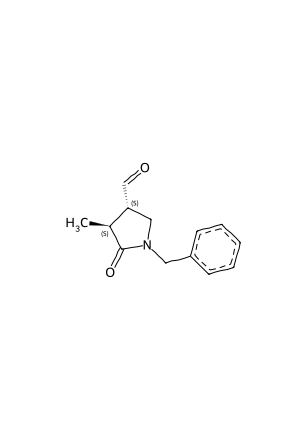 C[C@@H]1C(=O)N(Cc2ccccc2)C[C@H]1C=O